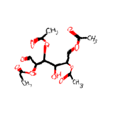 CC(=O)OCC(OC(C)=O)C(O)C(OC(C)=O)C(C=O)OC(C)=O